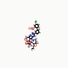 C=CCOC1(C)CCN(c2c(C(OC(C)(C)C)C(=O)O)c(C)cn3nc(-c4cccc(-c5ccc(F)cc5O)c4)cc23)CC1